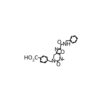 CN1C(=O)N(Cc2ccc(C(=O)O)cc2)Cc2nc(C(=O)NCc3ccccc3)oc21